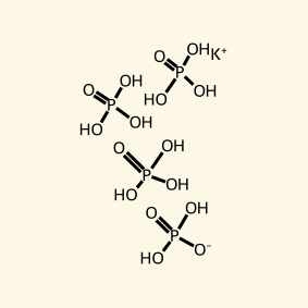 O=P(O)(O)O.O=P(O)(O)O.O=P(O)(O)O.O=P([O-])(O)O.[K+]